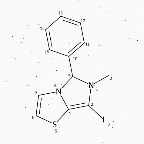 CN1C(I)=C2SC=CN2C1c1ccccc1